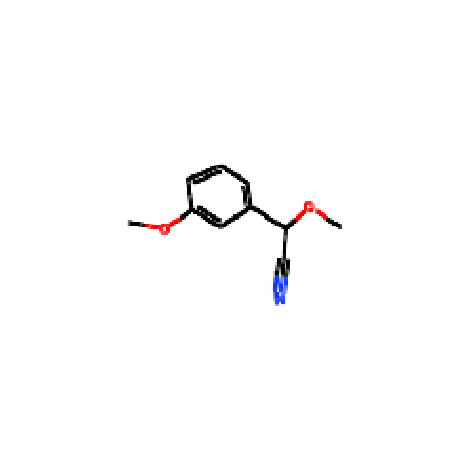 COc1cccc(C(C#N)OC)c1